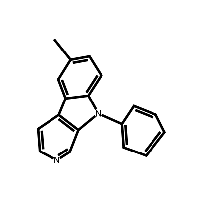 Cc1ccc2c(c1)c1ccncc1n2-c1ccccc1